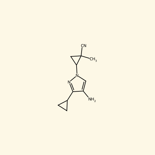 CC1(C#N)CC1n1cc(N)c(C2CC2)n1